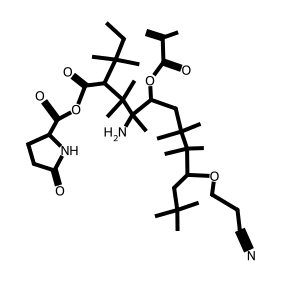 C=C(C)C(=O)OC(CC(C)(C)C(C)(C)C(CC(C)(C)C)OCCC#N)C(C)(N)C(C)(C)C(C(=O)OC(=O)C1CCC(=O)N1)C(C)(C)CC